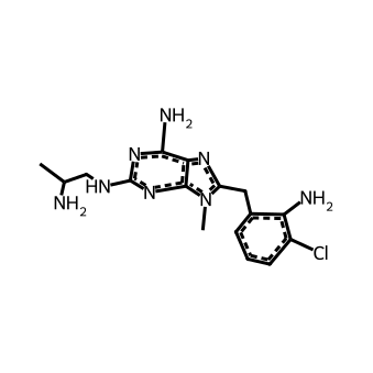 CC(N)CNc1nc(N)c2nc(Cc3cccc(Cl)c3N)n(C)c2n1